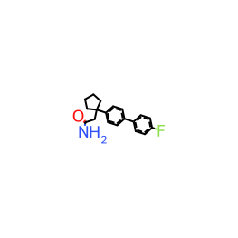 NC(=O)CC1(c2ccc(-c3ccc(F)cc3)cc2)CCCC1